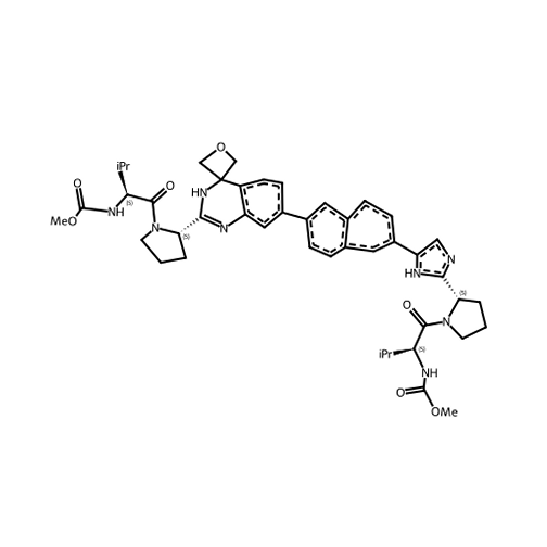 COC(=O)N[C@H](C(=O)N1CCC[C@H]1C1=Nc2cc(-c3ccc4cc(-c5cnc([C@@H]6CCCN6C(=O)[C@@H](NC(=O)OC)C(C)C)[nH]5)ccc4c3)ccc2C2(COC2)N1)C(C)C